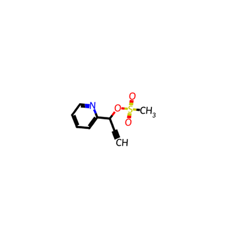 C#CC(OS(C)(=O)=O)c1ccccn1